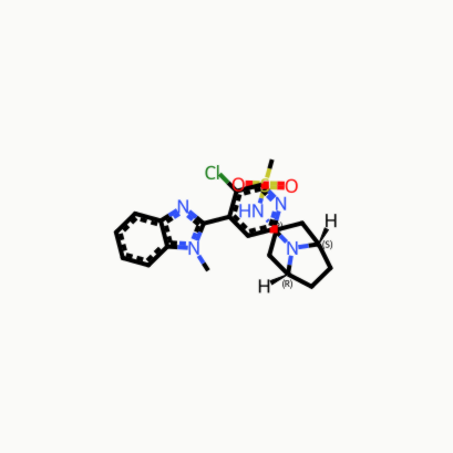 Cn1c(-c2cc(N3[C@@H]4CC[C@H]3C[C@@H](NS(C)(=O)=O)C4)ncc2Cl)nc2ccccc21